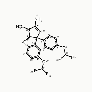 CN1C(=O)[C@@](c2ccc(OC(F)F)cc2)(c2cccc(OC(F)F)c2)N=C1N